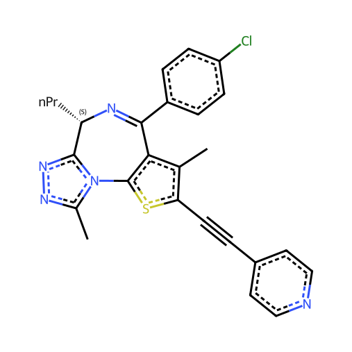 CCC[C@@H]1N=C(c2ccc(Cl)cc2)c2c(sc(C#Cc3ccncc3)c2C)-n2c(C)nnc21